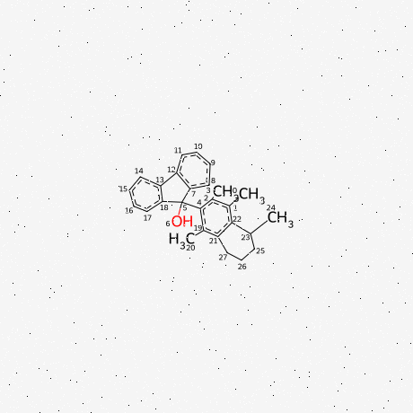 Cc1c(C)c(C2(O)c3ccccc3-c3ccccc32)c(C)c2c1C(C)CCC2